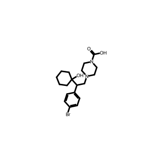 O=C(O)N1CCN(CC(c2ccc(Br)cc2)C2(O)CCCCC2)CC1